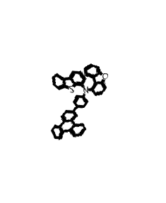 c1ccc2c(c1)oc1cccc(N(c3ccc(-c4ccc5c6ccccc6c6ccccc6c5c4)cc3)c3cccc4c3sc3ccccc34)c12